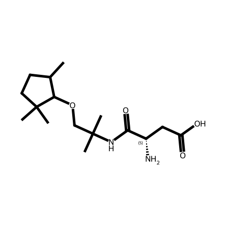 CC1CCC(C)(C)C1OCC(C)(C)NC(=O)[C@@H](N)CC(=O)O